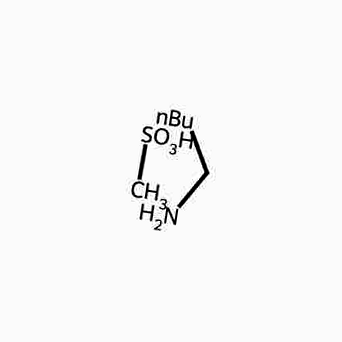 CCCCCN.CS(=O)(=O)O